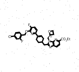 CCOC(=O)c1ccc2nc(CC3CC=C(c4ccc(F)c(OCc5ccc(Cl)cc5F)n4)CC3)n(C[C@@H]3CCO3)c2n1